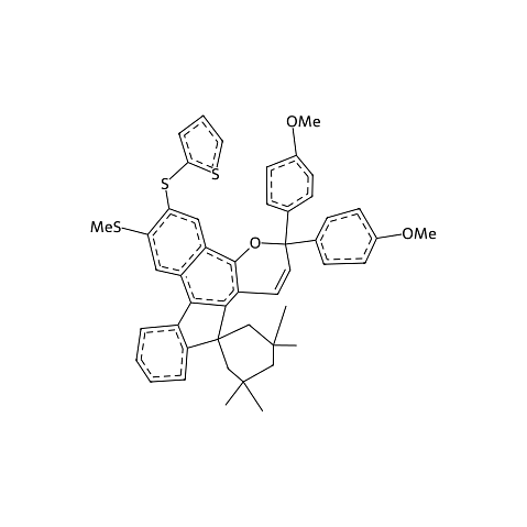 COc1ccc(C2(c3ccc(OC)cc3)C=Cc3c4c(c5cc(SC)c(Sc6cccs6)cc5c3O2)-c2ccccc2C42CC(C)(C)CC(C)(C)C2)cc1